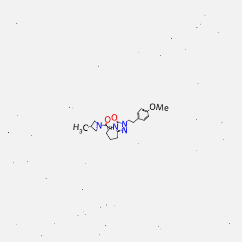 COc1ccc(CCn2nc3n(c2=O)[C@H](C(=O)N2CC(C)C2)CCC3)cc1